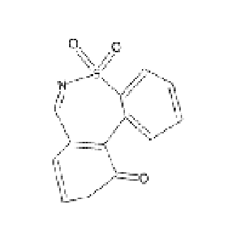 O=C1CC=CC2=C1c1ccccc1S(=O)(=O)N=C2